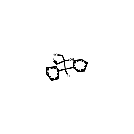 O=CC(O)(CO)C(O)(c1ccccc1)c1ccccc1